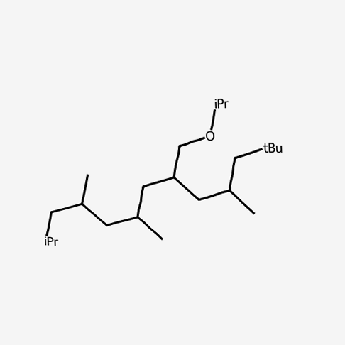 CC(C)CC(C)CC(C)CC(COC(C)C)CC(C)CC(C)(C)C